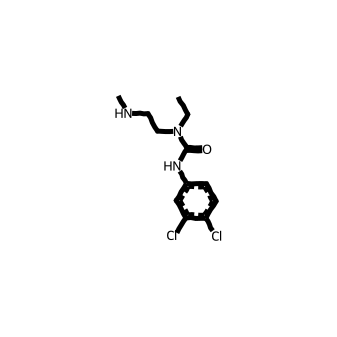 CCN(CCNC)C(=O)Nc1ccc(Cl)c(Cl)c1